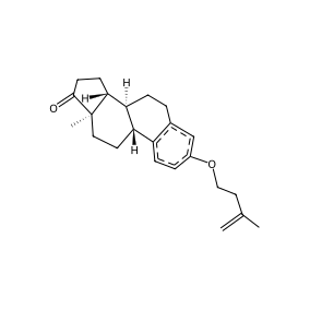 C=C(C)CCOc1ccc2c(c1)CC[C@@H]1[C@H]3CCC(=O)[C@]3(C)CC[C@@H]21